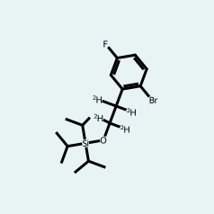 [2H]C([2H])(O[Si](C(C)C)(C(C)C)C(C)C)C([2H])([2H])c1cc(F)ccc1Br